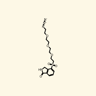 [N-]=[N+]=NCCOCCOCCOCCS(=O)(=O)c1cccc2c1CNC2=O